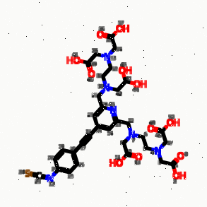 O=C(O)CN(CCN(CC(=O)O)Cc1cc(C#Cc2ccc(N=C=S)cc2)cc(CN(CCN(CC(=O)O)CC(=O)O)CC(O)O)n1)CC(=O)O